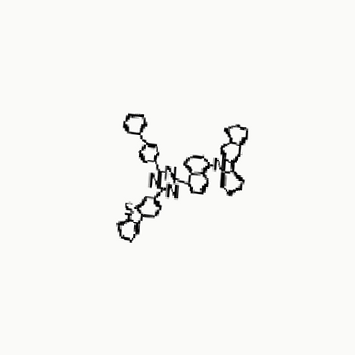 c1ccc(-c2ccc(-c3nc(-c4ccc5c(c4)sc4ccccc45)nc(-c4cccc5c(-n6c7ccccc7c7cc8ccccc8cc76)cccc45)n3)cc2)cc1